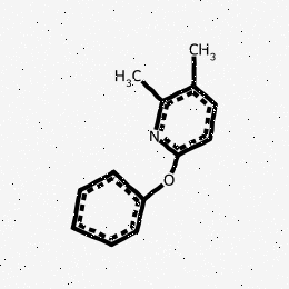 Cc1ccc(Oc2ccccc2)nc1C